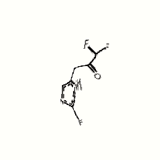 O=C(Cc1cnc(F)[nH]1)C(F)F